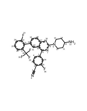 N#Cc1ccc(-c2nc(N3CCC(N)CC3)nc3ccc(-c4c(F)cccc4C(F)(F)F)cc23)cc1F